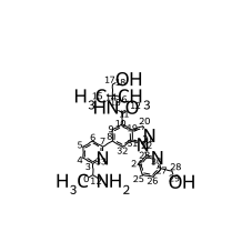 CC(N)c1cccc(-c2cc(C(=O)NC(C)(C)CO)c3cnn(-c4cccc(CO)n4)c3c2)n1